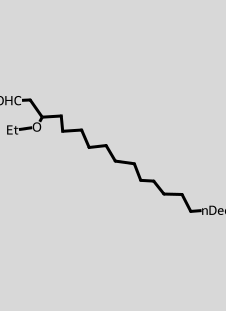 CCCCCCCCCCCCCCCCCCCCCCC(CC=O)OCC